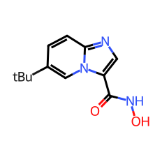 CC(C)(C)c1ccc2ncc(C(=O)NO)n2c1